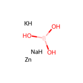 OB(O)O.[KH].[NaH].[Zn]